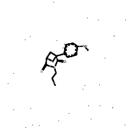 CCCN1C(=O)C2CC(c3ccc(NC)cc3)(C2)C1=O